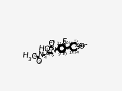 CC(=O)NC[C@H]1CN(c2ccc(C3CC[S+]([O-])CC3)c(F)c2)C(=O)O1